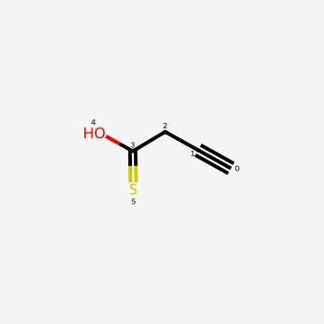 C#CCC(O)=S